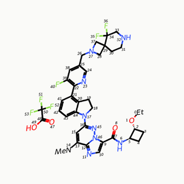 CCO[C@@H]1CC[C@H]1NC(=O)c1cnc2c(NC)cc(N3CCc4c(-c5ncc(CN6CC7(CCNCC7(F)F)C6)cc5F)cccc43)nn12.O=C(O)C(F)(F)F